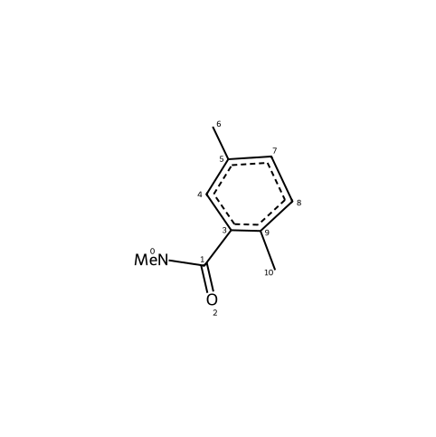 [CH2]NC(=O)c1cc(C)ccc1C